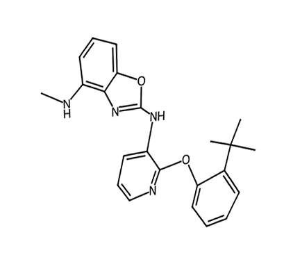 CNc1cccc2oc(Nc3cccnc3Oc3ccccc3C(C)(C)C)nc12